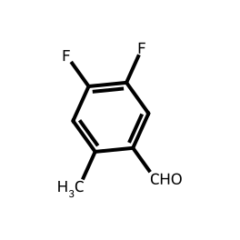 Cc1cc(F)c(F)cc1C=O